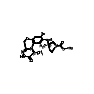 C[C@@H]1C(=O)NN=C2COc3cc(Br)c([AsH][C@]4(C)CCN(C(=O)OC(C)(C)C)C4)cc3N21